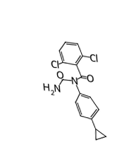 NC(=O)N(C(=O)c1c(Cl)cccc1Cl)c1ccc(C2CC2)cc1